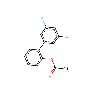 CC(=O)Oc1ccccc1-c1cc(F)cc(F)c1